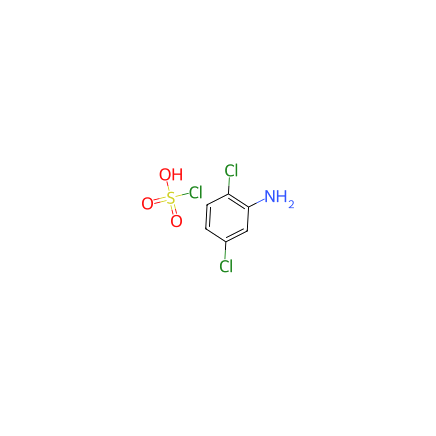 Nc1cc(Cl)ccc1Cl.O=S(=O)(O)Cl